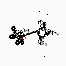 CC(C)(C)OC(=O)CN1CCCN(CC(=O)OC(C)(C)C)CCN(CC(=O)OC(C)(C)C)CCCN(CCCCCCCCCC[C@]2(OC(=O)c3ccccc3)O[C@H](CO)[C@@H](OC(=O)c3ccccc3)[C@H](OC(=O)c3ccccc3)[C@H]2OC(=O)c2ccccc2)CC1